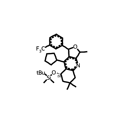 CC1OC(c2cccc(C(F)(F)F)c2)c2c1nc1c(c2C2CCCC2)[C@@H](O[Si](C)(C)C(C)(C)C)CC(C)(C)C1